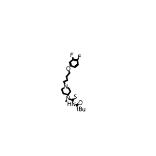 CN(C(=S)NC(=O)C(C)(C)C)C1CCN(CCCCOc2ccc(F)c(F)c2)CC1